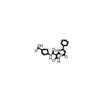 O=C(O)c1ccc(NC(=O)c2c(=O)[nH]n3c(=O)cc(-c4ccccc4)[nH]c23)cc1